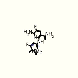 C=N/C=C(\C=C(\F)C(C)NC)Nc1nc(N)c(F)cc1C(=C)N